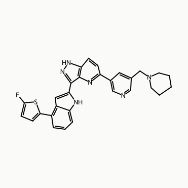 Fc1ccc(-c2cccc3[nH]c(-c4n[nH]c5ccc(-c6cncc(CN7CCCCC7)c6)nc45)cc23)s1